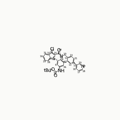 CC(C)(C)OC(=O)Nc1ccc(N(Cc2ccc(-c3cccnc3)cc2)C(=O)c2sc3ccccc3c2Cl)cc1